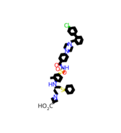 Cc1cc(S(=O)(=O)NC(=O)c2ccc(N3CCN(Cc4ccccc4-c4ccc(Cl)cc4)CC3)cc2)ccc1N[C@H](CCN1CC(C(=O)O)C1)CSc1ccccc1